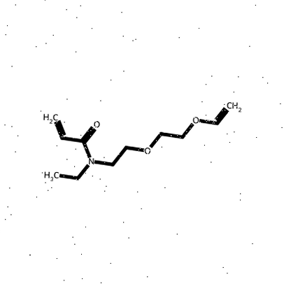 C=COCCOCCN(CC)C(=O)C=C